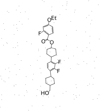 CCOc1ccc(C(=O)OC2CCC(c3ccc(C4CCC(CO)CC4)c(F)c3F)CC2)c(F)c1